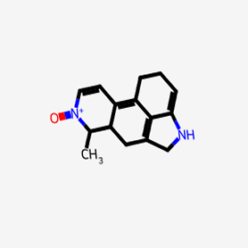 CC1C2CC3=C4C(=CCCC4=C2C=C[N+]1=O)NC3